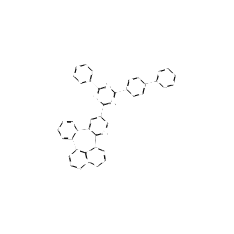 c1ccc(-c2ccc(-c3nc(-c4ccccc4)nc(-c4cnc5c(c4)-c4ccccc4-c4cccc6cccc-5c46)n3)cc2)cc1